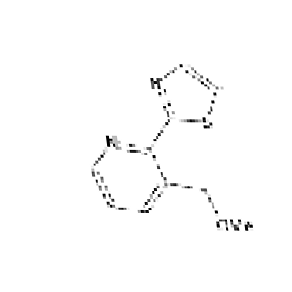 COCc1cccnc1-c1nc[c]s1